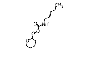 CCC=CCNC(=O)OOC1CCCCO1